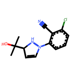 CC(C)(O)C1C=CN(c2cccc(Cl)c2C#N)N1